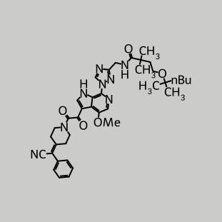 CCCCC(C)(C)OCCC(C)(C)C(=O)NCc1ncn(-c2ncc(OC)c3c(C(=O)C(=O)N4CCC(=C(C#N)c5ccccc5)CC4)c[nH]c23)n1